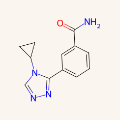 NC(=O)c1cccc(-c2nncn2C2CC2)c1